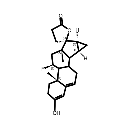 C[C@]12CCC(O)=CC1=CCC1C2[C@@H](F)C[C@@]2(C)C1[C@@H]1C[C@@H]1[C@@]21CCC(=O)O1